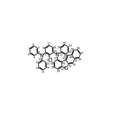 Clc1c(N(c2ccccc2)c2ccccc2)cccc1N(c1ccccc1)c1cccc2oc3cc4ccccc4cc3c12